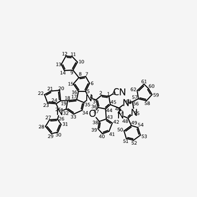 N#Cc1cc(-n2c3ccc(-c4ccccc4)cc3c3c4c5ccccc5n(-c5ccccc5)c4ccc32)c2oc3ccccc3c2c1-c1nc(-c2ccccc2)nc(-c2ccccc2)n1